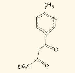 CCOC(=O)C(=O)CC(=O)c1ccc(C)nc1